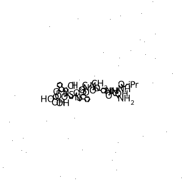 CC(C)CCC(=O)NCC(O)NC(CCCN)C(=O)NC1=CCC(COC(=O)N(C)CCN(C)C(=O)Oc2cc3c(c4ccccc24)CCN3C(=O)c2ccc(C(=O)N3C[C@@H](CCl)c4c3cc(O[C@H]3C[C@@H](O)[C@@H](O)[C@@H](CO)O3)c3ccccc43)s2)C=C1